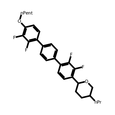 CCCCCOc1ccc(-c2ccc(-c3ccc(C4CCC(CCC)CO4)c(F)c3F)cc2)c(F)c1F